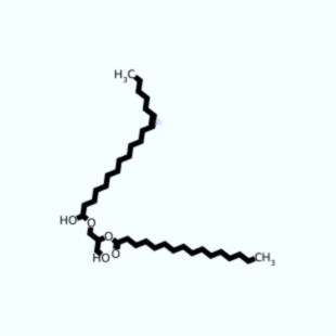 CCCCC/C=C\CCCCCCCCCCCC(O)OCC(CO)OC(=O)CCCCCCCCCCCCCCC